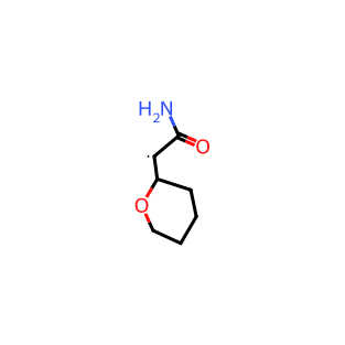 NC(=O)[CH]C1CCCCO1